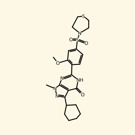 COc1cc(S(=O)(=O)N2CCSCC2)ccc1-c1nc2c(c(C3CCCCC3)nn2C)c(=O)[nH]1